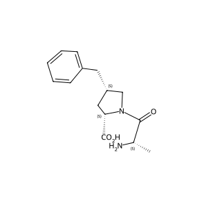 C[C@H](N)C(=O)N1C[C@@H](Cc2ccccc2)C[C@H]1C(=O)O